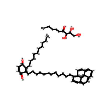 CCCCCC(=O)C(O)[C@@H](O)CO.CCCCCCCCCCC1=C(CCCCCCCCCCCCc2ccc3ccc4cccc5ccc2c3c45)C(=O)C=CC1=O